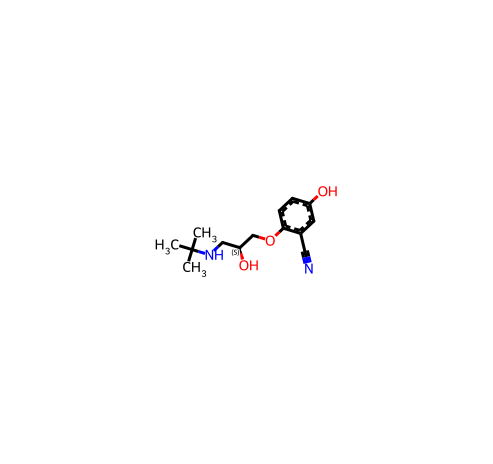 CC(C)(C)NC[C@H](O)COc1ccc(O)cc1C#N